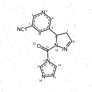 N#Cc1cncc(C2CC=NN2C(=O)n2ccnc2)c1